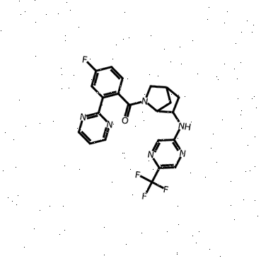 O=C(c1ccc(F)cc1-c1ncccn1)N1CC2CC(Nc3cnc(C(F)(F)F)cn3)C1C2